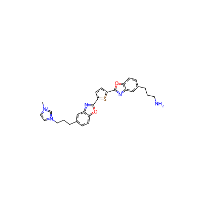 C[n+]1ccn(CCCc2ccc3oc(-c4ccc(-c5nc6cc(CCCN)ccc6o5)s4)nc3c2)c1